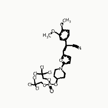 COc1ccc(C(C#N)=Cc2ccc(N3CCC(OP(=O)(OCC(Cl)(Cl)Cl)OCC(Cl)(Cl)Cl)CC3)o2)cc1OC